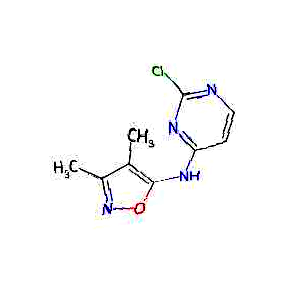 Cc1noc(Nc2ccnc(Cl)n2)c1C